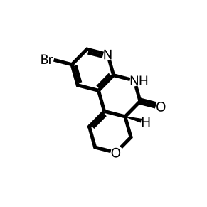 O=C1Nc2ncc(Br)cc2C2=CCOC[C@@H]12